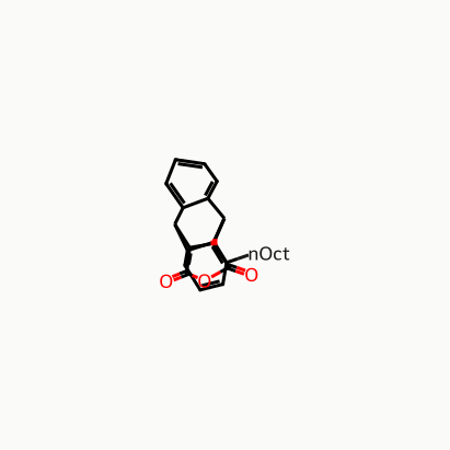 CCCCCCCCc1cccc2c1C1c3ccccc3C2C2C(=O)OC(=O)C12